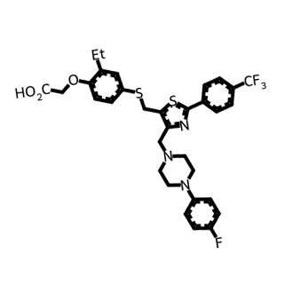 CCc1cc(SCc2sc(-c3ccc(C(F)(F)F)cc3)nc2CN2CCN(c3ccc(F)cc3)CC2)ccc1OCC(=O)O